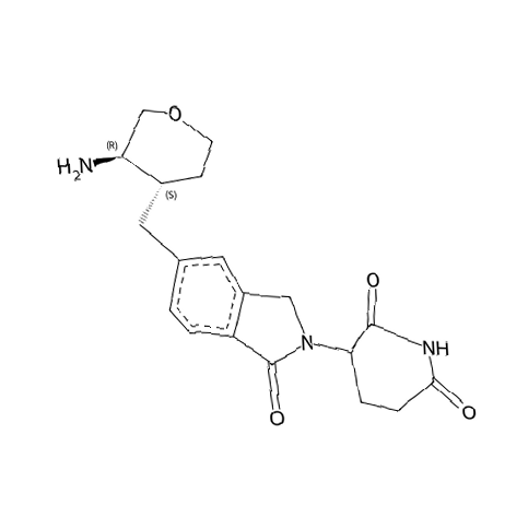 N[C@H]1COCC[C@@H]1Cc1ccc2c(c1)CN(C1CCC(=O)NC1=O)C2=O